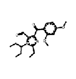 CCc1nc(C(=O)c2ccc(OC)cc2OC)c(C=O)n1C(CC)CC